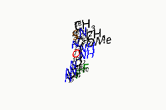 COC(C)c1c(NC(=O)Nc2cnc(-n3ccnn3)c(C(F)F)c2)cnc2sc(C)nc12